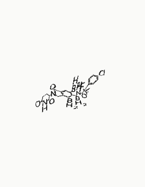 Bc1cc2c(c(B)c1C(B)NC(=O)C(F)(F)c1ccc(Cl)cc1)CN(C1CCC(=O)NC1=O)C2=O